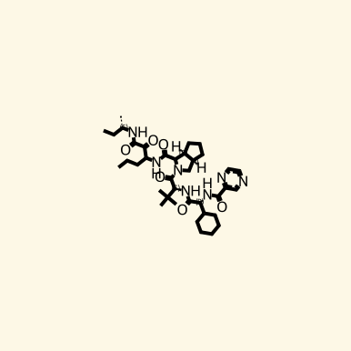 CCCC(NC(=O)C1[C@H]2CCC[C@H]2CN1C(=O)[C@@H](NC(=O)[C@H](NC(=O)c1cnccn1)C1CCCCC1)C(C)(C)C)C(=O)C(=O)N[C@@H](C)CC